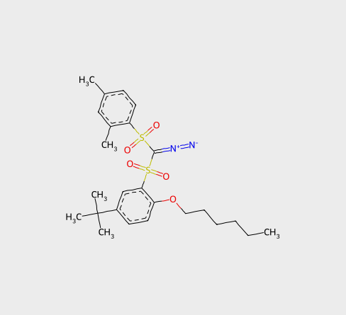 CCCCCCOc1ccc(C(C)(C)C)cc1S(=O)(=O)C(=[N+]=[N-])S(=O)(=O)c1ccc(C)cc1C